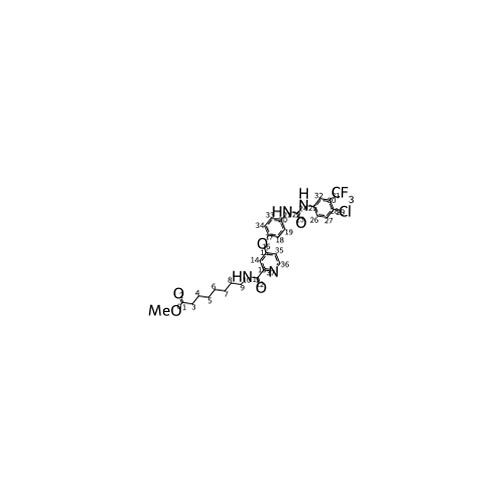 COC(=O)CCCCCCCNC(=O)c1cc(Oc2ccc(NC(=O)Nc3ccc(Cl)c(C(F)(F)F)c3)cc2)ccn1